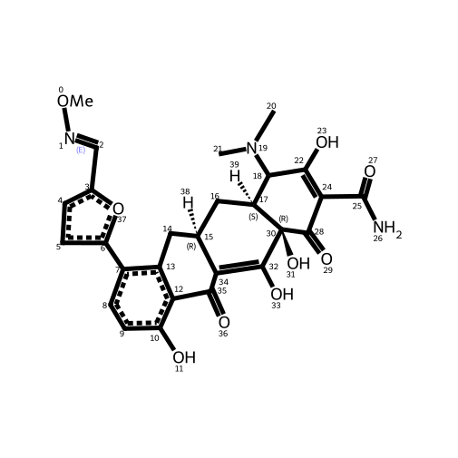 CO/N=C/c1ccc(-c2ccc(O)c3c2C[C@H]2C[C@H]4C(N(C)C)C(O)=C(C(N)=O)C(=O)[C@]4(O)C(O)=C2C3=O)o1